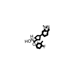 Cc1c(F)cccc1[C@]1(C(=O)NO)CCC(c2ccc3cnn(C)c3c2)C1